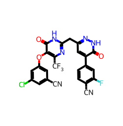 N#Cc1cc(Cl)cc(Oc2c(C(F)(F)F)nc(Cc3cc(-c4ccc(C#N)c(F)c4)c(=O)[nH]n3)[nH]c2=O)c1